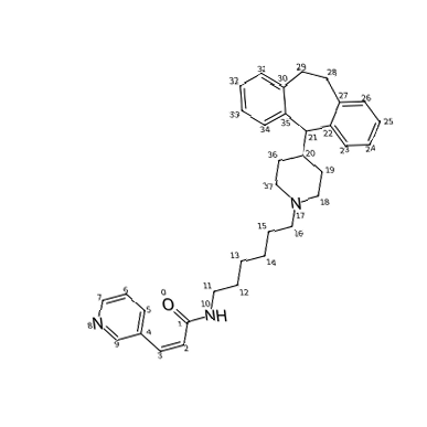 O=C(/C=C\c1cccnc1)NCCCCCCN1CCC(C2c3ccccc3CCc3ccccc32)CC1